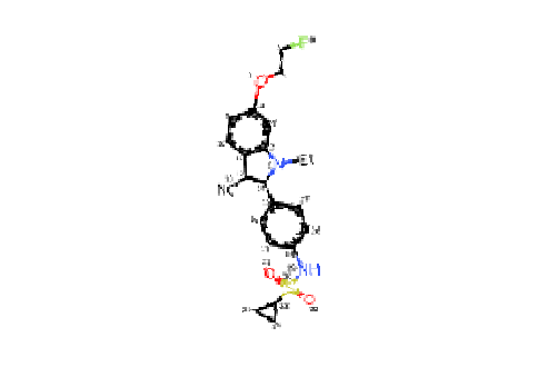 CCN1c2cc(OCCF)ccc2C(C#N)C1c1ccc(NS(=O)(=O)C2CC2)cc1